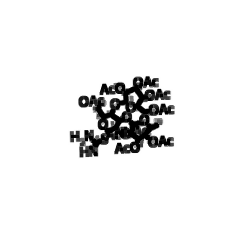 CC(=O)NC1C(SC(=N)N)OC(COC(C)=O)C(OC2OC(COC(C)=O)C(OC(C)=O)C(OC(C)=O)C2OC(C)=O)C1OC1OC(C)C(OC(C)=O)C(OC(C)=O)C1OC(C)=O